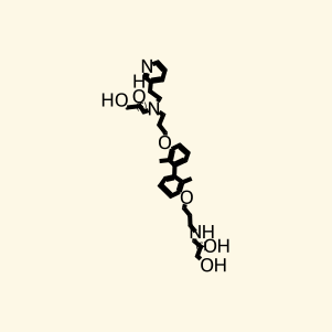 Cc1c(OCCCNC[C@H](O)CO)cccc1-c1cccc(OCCCN(CCc2cccnc2)C[C@H](O)CO)c1C